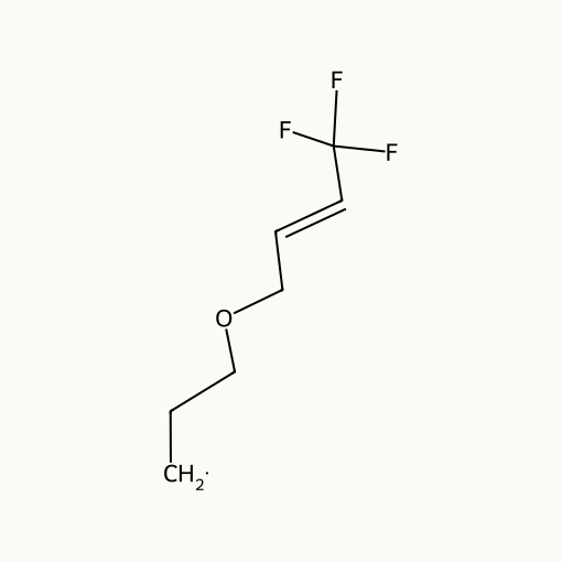 [CH2]CCOCC=CC(F)(F)F